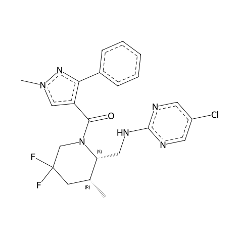 C[C@@H]1CC(F)(F)CN(C(=O)c2cn(C)nc2-c2ccccc2)[C@@H]1CNc1ncc(Cl)cn1